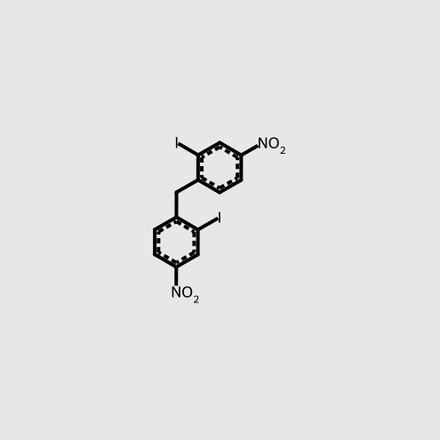 O=[N+]([O-])c1ccc(Cc2ccc([N+](=O)[O-])cc2I)c(I)c1